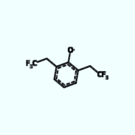 [O]c1c(CC(F)(F)F)cccc1CC(F)(F)F